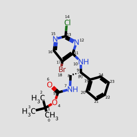 CC(C)(C)OC(=O)NC[C@H](Nc1nc(Cl)ncc1Br)c1ccccc1